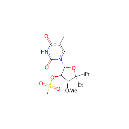 CC[C@@]1(C(C)C)O[C@@H](n2cc(C)c(=O)[nH]c2=O)[C@H](OS(C)(=O)=O)[C@@H]1OC